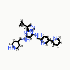 c1ccc(-c2ccc(CNc3cc(NCC4CCNCC4)nc4c(C5CC5)cnn34)nc2)nc1